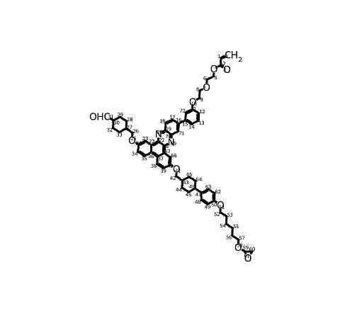 C=CC(=O)OCCOCCOc1cccc(-c2ccc3nc4c5cc(OCC6CCC(C=O)CC6)ccc5c5ccc(OCC6CCC(c7ccc(OCCCCCCOC8CO8)cc7)CC6)cc5c4nc3c2)c1